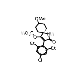 CCc1cc(Cl)cc(CC)c1C1=C(OC(=O)O)[C@]2(CC[C@H](OC)CC2)NC1=O